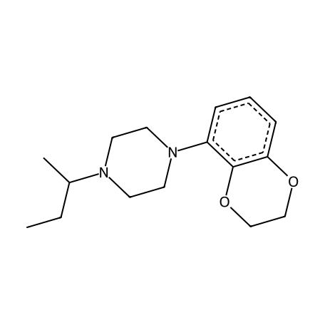 CCC(C)N1CCN(c2cccc3c2OCCO3)CC1